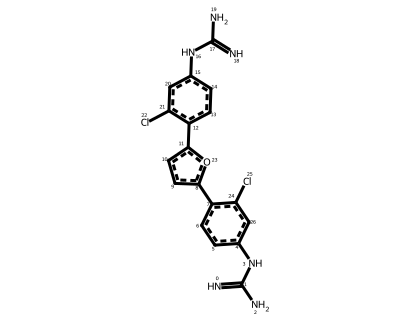 N=C(N)Nc1ccc(-c2ccc(-c3ccc(NC(=N)N)cc3Cl)o2)c(Cl)c1